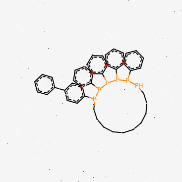 c1ccc(-c2ccc(P3CCCCCCCCCCPP(c4ccccc4)P(c4ccccc4)P(c4ccccc4)P3c3ccccc3)cc2)cc1